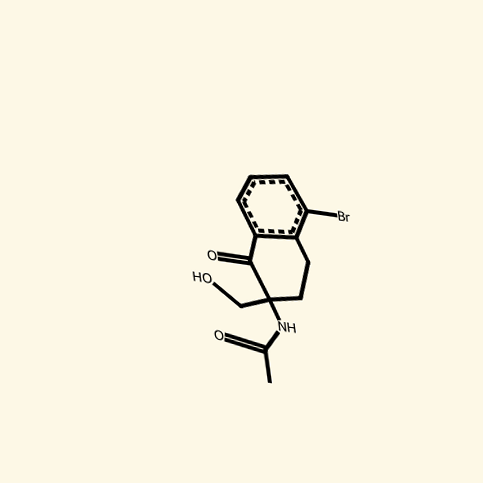 CC(=O)NC1(CO)CCc2c(Br)cccc2C1=O